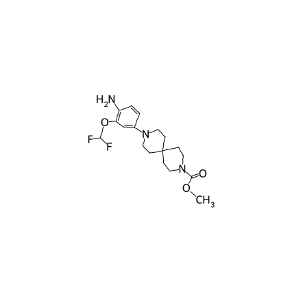 COC(=O)N1CCC2(CC1)CCN(c1ccc(N)c(OC(F)F)c1)CC2